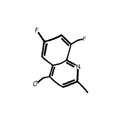 Cc1cc(Cl)c2cc(F)cc(F)c2n1